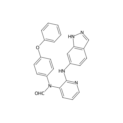 O=CN(c1ccc(Oc2ccccc2)cc1)c1cccnc1Nc1ccc2cn[nH]c2c1